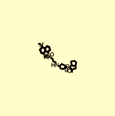 CC1CC2CCCC(C2)C12OOC1(CCC(NCCCNS(=O)(=O)c3cccc4c(N(C)C)cccc34)CC1)O2